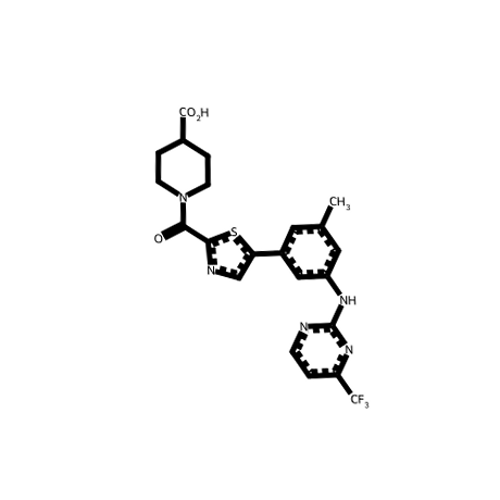 Cc1cc(Nc2nccc(C(F)(F)F)n2)cc(-c2cnc(C(=O)N3CCC(C(=O)O)CC3)s2)c1